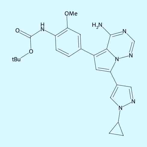 COc1cc(-c2cc(-c3cnn(C4CC4)c3)n3ncnc(N)c23)ccc1NC(=O)OC(C)(C)C